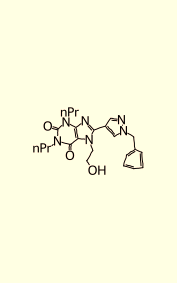 CCCn1c(=O)c2c(nc(-c3cnn(Cc4ccccc4)c3)n2CCO)n(CCC)c1=O